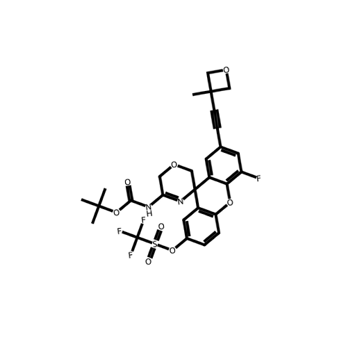 CC1(C#Cc2cc(F)c3c(c2)C2(COCC(NC(=O)OC(C)(C)C)=N2)c2cc(OS(=O)(=O)C(F)(F)F)ccc2O3)COC1